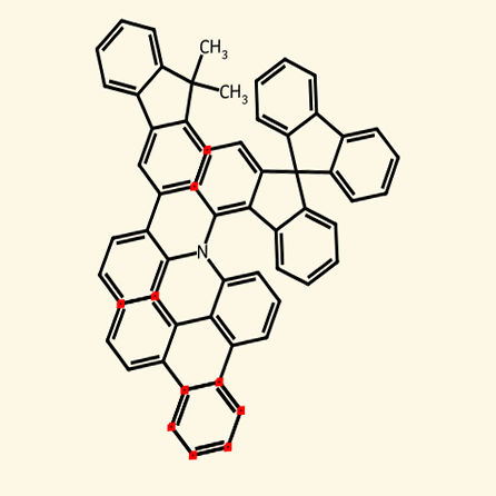 CC1(C)c2ccccc2-c2cc(-c3ccccc3N(c3cccc(-c4ccccc4)c3-c3ccccc3-c3ccccc3)c3cccc4c3-c3ccccc3C43c4ccccc4-c4ccccc43)ccc21